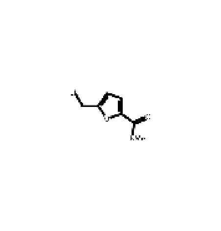 CNC(=O)c1ccc(CCl)o1